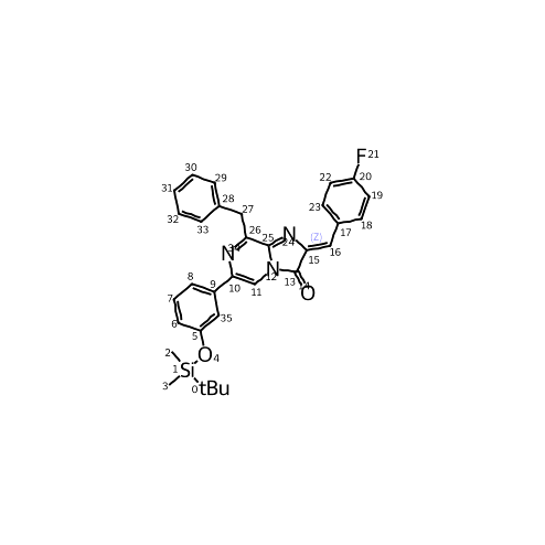 CC(C)(C)[Si](C)(C)Oc1cccc(C2=CN3C(=O)/C(=C/c4ccc(F)cc4)N=C3C(Cc3ccccc3)=N2)c1